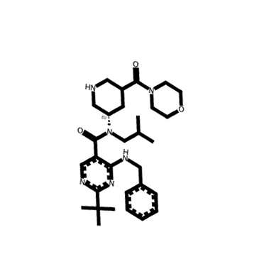 CC(C)CN(C(=O)c1cnc(C(C)(C)C)nc1NCc1ccccc1)[C@@H]1CNCC(C(=O)N2CCOCC2)C1